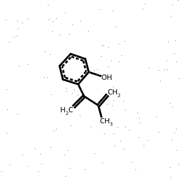 C=C(C)C(=C)c1ccccc1O